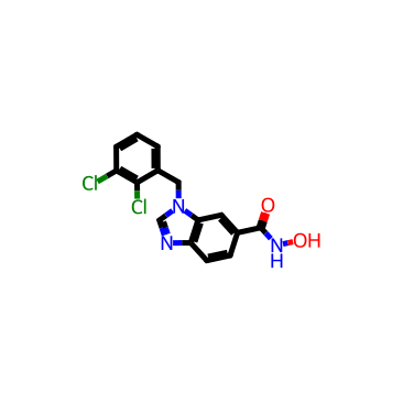 O=C(NO)c1ccc2ncn(Cc3cccc(Cl)c3Cl)c2c1